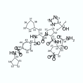 CC(C)(O)c1cnnn1[C@@H]1C[C@@H](C(=O)NC2(C(=O)C(N)=O)CCS(=O)(=O)CC2)N(C(=O)C(CC2CCCCC2)NC(=O)c2ccc(S(=O)(=O)NC3CCCC3)cc2)C1